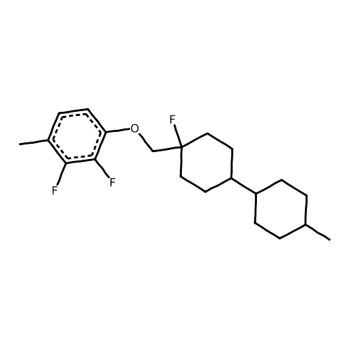 Cc1ccc(OCC2(F)CCC(C3CCC(C)CC3)CC2)c(F)c1F